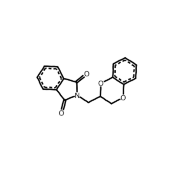 O=C1c2ccccc2C(=O)N1CC1COc2ccccc2O1